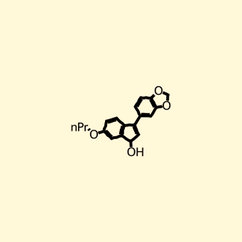 CCCOc1ccc2c(c1)C(O)C=C2c1ccc2c(c1)OCO2